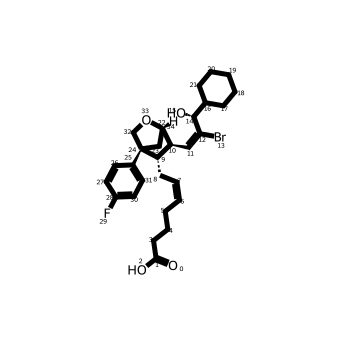 O=C(O)CCC/C=C\C[C@H]1[C@H](/C=C(/Br)[C@H](O)C2CCCCC2)[C@@H]2C[C@@]1(c1ccc(F)cc1)CO2